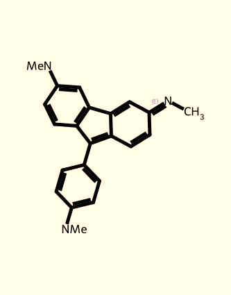 C/N=C1\C=CC2=C(c3ccc(NC)cc3)c3ccc(NC)cc3C2=C1